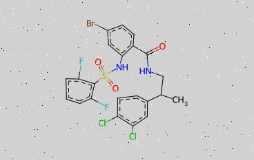 CC(CNC(=O)c1ccc(Br)cc1NS(=O)(=O)c1c(F)cccc1F)c1ccc(Cl)c(Cl)c1